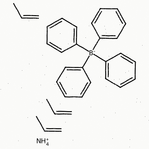 C=CC.C=CC.C=CC.[NH4+].c1ccc([B-](c2ccccc2)(c2ccccc2)c2ccccc2)cc1